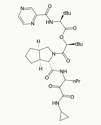 CCCC(NC(=O)[C@@H]1[C@H]2CCC[C@H]2CN1C(=O)[C@@H](OC(=O)[C@@H](NC(=O)c1cnccn1)C(C)(C)C)C(C)(C)C)C(=O)C(=O)NC1CC1